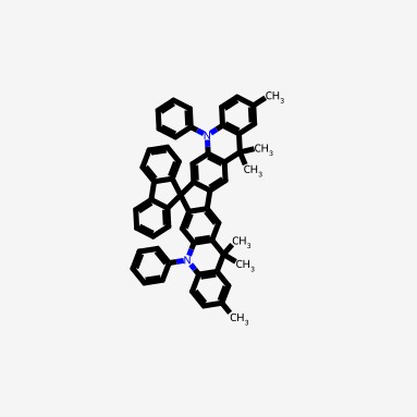 Cc1ccc2c(c1)C(C)(C)c1cc3c(cc1N2c1ccccc1)C1(c2ccccc2-c2ccccc21)c1cc2c(cc1-3)C(C)(C)c1cc(C)ccc1N2c1ccccc1